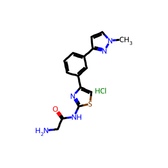 Cl.Cn1ccc(-c2cccc(-c3csc(NC(=O)CN)n3)c2)n1